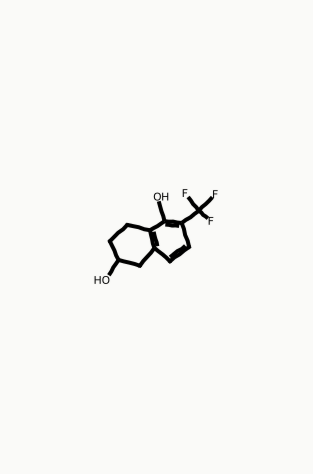 Oc1c(C(F)(F)F)ccc2c1CCC(O)C2